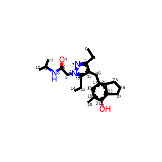 CCc1nn(CC(=O)NC(C)C)c(CC)c1Cc1cc(C)c(O)c2c1CCC2